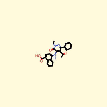 CCn1nc(-c2ccccc2)c(C(C)=O)c(Nc2ccc(C(=O)O)c3ccccc23)c1=O